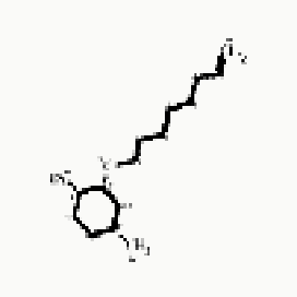 C=CCCCCCCO[C@@H]1C[C@H](C)CC[C@H]1C(C)C